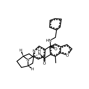 Cc1c(C(=O)N[C@H]2C[C@H]3CC[C@@H](C2)N3c2ccc(C(=O)NCc3ccccc3)cn2)ccc2ccoc12